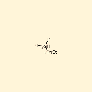 CCO[SiH](I)I